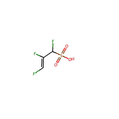 O=S(=O)(O)C(F)C(F)=CF